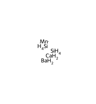 [BaH2].[CaH2].[Mn].[SiH4].[SiH4]